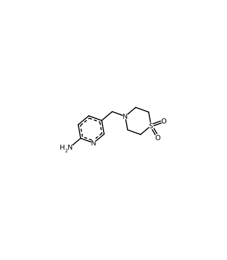 Nc1ccc(CN2CCS(=O)(=O)CC2)cn1